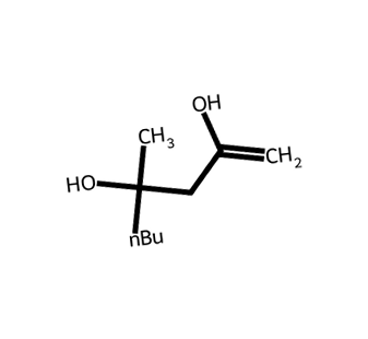 C=C(O)CC(C)(O)CCCC